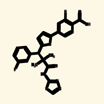 CC(C)(C(=O)Nc1nncs1)[C@@H](c1cccc(F)c1)c1ccc(-c2ccc(C(=O)O)c(F)c2)s1